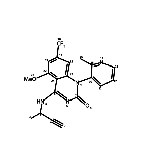 C#CC(C)Nc1nc(=O)n(-c2cccnc2C)c2cc(C(F)(F)F)cc(OC)c12